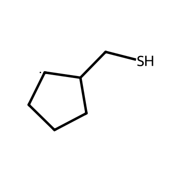 SCC1[CH]CCC1